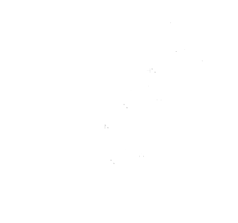 COCCC1CCN(C(=O)c2cn3c(C(=O)NCC45CC6CC(CC(C6)C4)C5)cccc3n2)CC1